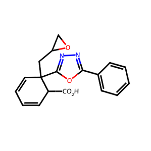 O=C(O)C1C=CC=CC1(CC1CO1)c1nnc(-c2ccccc2)o1